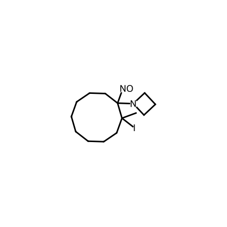 CC1(I)CCCCCCCCC1(N=O)N1CCC1